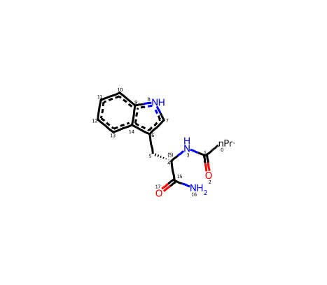 CC[CH]C(=O)N[C@@H](Cc1c[nH]c2ccccc12)C(N)=O